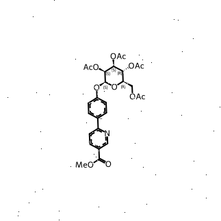 COC(=O)c1ccc(-c2ccc(O[C@@H]3O[C@H](COC(C)=O)[C@@H](OC(C)=O)[C@H](OC(C)=O)[C@@H]3OC(C)=O)cc2)nc1